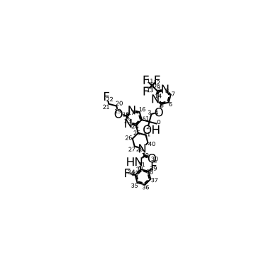 CC(O)(COc1ccnc(C(F)(F)F)n1)c1cnc(OCCF)nc1C1CCN(C(=O)Nc2c(F)cccc2F)CC1